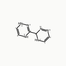 C1=CNC(C2=NNC=CN2)N=N1